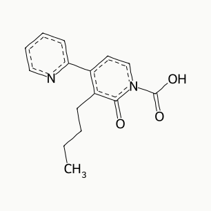 CCCCc1c(-c2ccccn2)ccn(C(=O)O)c1=O